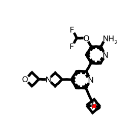 Nc1ncc(-c2cc(C3CN(C4COC4)C3)cc(N3CC4CC3C4)n2)cc1OC(F)F